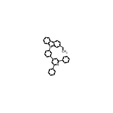 C=Cc1ccc2c3ccccc3n(-c3cccc(-c4cc(-c5ccccc5)nc(-c5ccccc5)c4)c3)c2c1